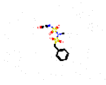 CN(S(=O)(=O)Cc1ccccc1)S(=O)(=O)N=C=O